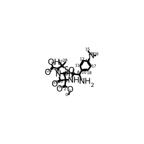 COC(=O)C1(NC(=O)C(N)c2ccc(N(C)C)cc2)C(=O)N2[C@@H](C(=O)O)C(C)(C)S[C@@H]21